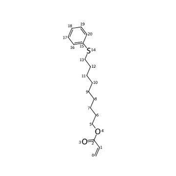 C=CC(=O)OCCCCCCCCCSc1ccccc1